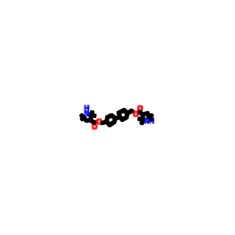 CC1(C)CC(C(=O)OCC2CCC(C3CCC(COC(=O)C4CC(C)(C)NC4(C)C)CC3)CC2)C(C)(C)N1